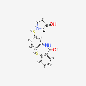 O=C1Nc2cc(SN3CCC(O)C3)ccc2Sc2ccccc21